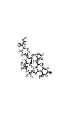 CCOC(=O)C1CCN(c2cc(C(F)(F)F)ccc2Cn2ccnc2NC(=O)C2CN(C(C)(C)C)C[C@H]2c2ccc(F)cc2F)CC1